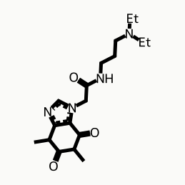 CCN(CC)CCCNC(=O)Cn1cnc2c1C(=O)C(C)C(=O)C2C